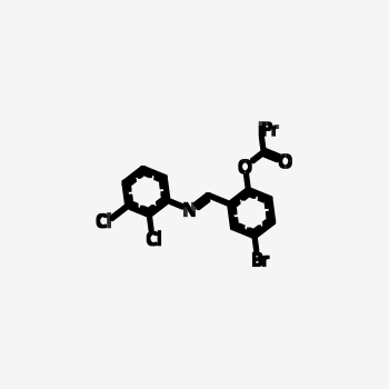 CC(C)C(=O)Oc1ccc(Br)cc1C=Nc1cccc(Cl)c1Cl